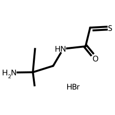 Br.CC(C)(N)CNC(=O)C=S